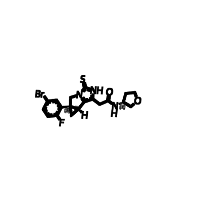 O=C(Cc1[nH]c(=S)n2c1[C@@H]1C[C@]1(c1cc(Br)ccc1F)C2)N[C@@H]1CCOC1